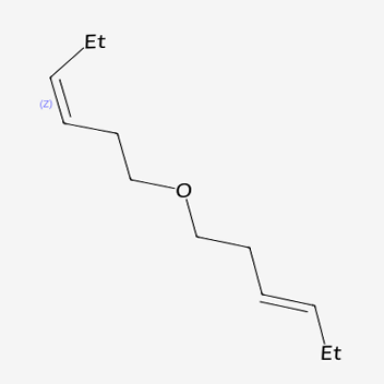 CCC=CCCOCC/C=C\CC